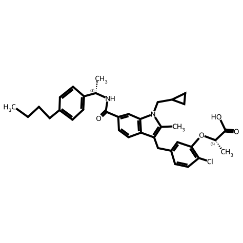 CCCCc1ccc([C@H](C)NC(=O)c2ccc3c(Cc4ccc(Cl)c(O[C@@H](C)C(=O)O)c4)c(C)n(CC4CC4)c3c2)cc1